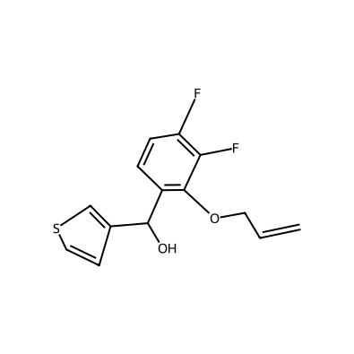 C=CCOc1c(C(O)c2ccsc2)ccc(F)c1F